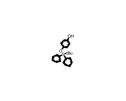 CC(C)(C)[Si](Oc1ccc(O)cc1)(c1ccccc1)c1ccccc1